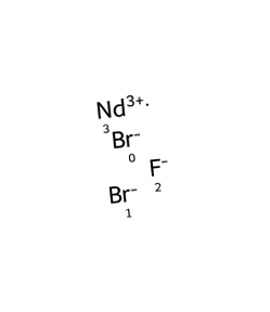 [Br-].[Br-].[F-].[Nd+3]